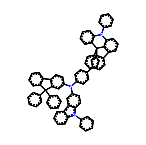 c1ccc(N2c3ccccc3C3(c4ccccc4)c4cc(-c5ccc(N(c6ccc7c(c6)C(c6ccccc6)(c6ccccc6)c6ccccc6-7)c6ccc7c(c6)c6ccccc6n7-c6ccccc6)cc5)ccc4-c4cccc2c43)cc1